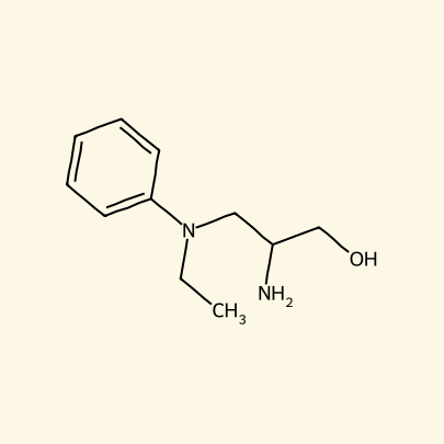 CCN(CC(N)CO)c1ccccc1